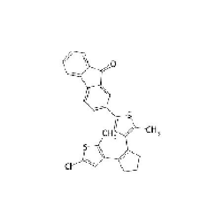 Cc1sc(Cl)cc1C1=C(c2cc(-c3ccc4c(c3)C(=O)c3ccccc3-4)sc2C)CCC1